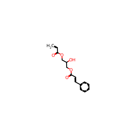 C=CC(=O)OCC(O)COC(=O)C=Cc1ccccc1